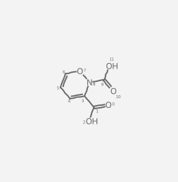 O=C(O)C1=CC=CON1C(=O)O